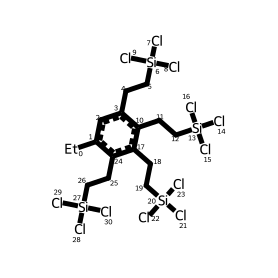 CCc1cc(CC[Si](Cl)(Cl)Cl)c(CC[Si](Cl)(Cl)Cl)c(CC[Si](Cl)(Cl)Cl)c1CC[Si](Cl)(Cl)Cl